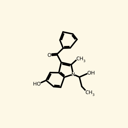 CCC(O)n1c(C)c(C(=O)c2ccccc2)c2cc(O)ccc21